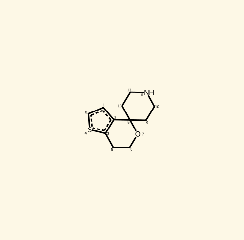 c1cc2c(s1)CCOC21CCNCC1